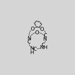 c1ccc2c(c1)OCCN1CCNCCNCCN(CCOCC1)CCO2